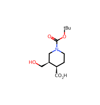 CC(C)(C)OC(=O)N1CC[C@@H](C(=O)O)[C@@H](CO)C1